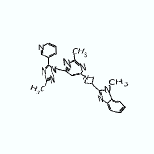 Cc1nc(N2CC(c3nc4ccccc4n3C)C2)cc(-n2nc(C)nc2-c2cccnc2)n1